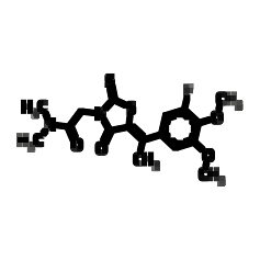 COc1cc(/C(C)=C2\SC(=S)N(CC(=O)N(C)C)C2=O)cc(F)c1OC